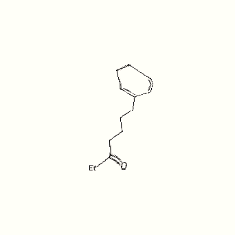 CCC(=O)CCCCC1=CCCC=C1